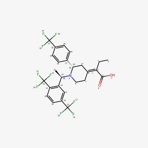 CC/C(C(=O)O)=C1/CCN([C@H](C)c2cc(C(F)(F)F)ccc2C(F)(F)F)[C@H](c2ccc(C(F)(F)F)cc2)C1